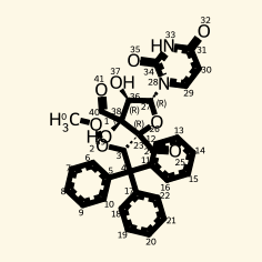 COOC(C(c1ccccc1)(c1ccccc1)c1ccccc1)[C@@]1(C=O)O[C@@H](n2ccc(=O)[nH]c2=O)[C@H](O)[C@@]1(O)C=O